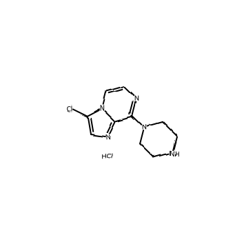 Cl.Clc1cnc2c(N3CCNCC3)nccn12